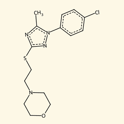 Cc1nc(SCCN2CCOCC2)nn1-c1ccc(Cl)cc1